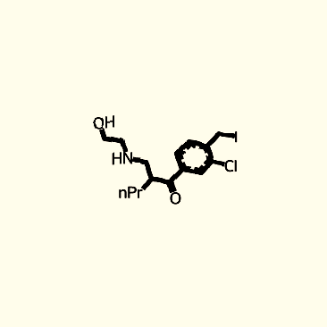 CCCC(CNCCO)C(=O)c1ccc(CI)c(Cl)c1